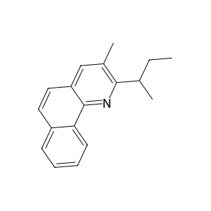 CCC(C)c1nc2c(ccc3ccccc32)cc1C